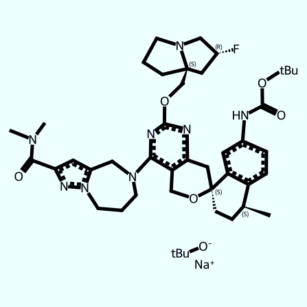 CC(C)(C)[O-].C[C@H]1CC[C@]2(Cc3nc(OC[C@@]45CCCN4C[C@H](F)C5)nc(N4CCCn5nc(C(=O)N(C)C)cc5C4)c3CO2)c2cc(NC(=O)OC(C)(C)C)ccc21.[Na+]